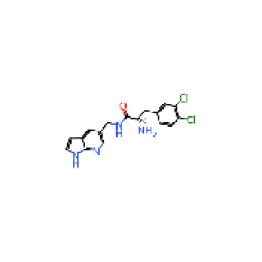 N[C@@H](Cc1ccc(Cl)c(Cl)c1)C(=O)NCc1cnc2[nH]ccc2c1